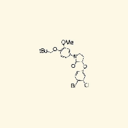 COc1cc(N2CCC(Oc3ccc(Br)c(Cl)c3)C2=O)ccc1OCC(C)(C)C